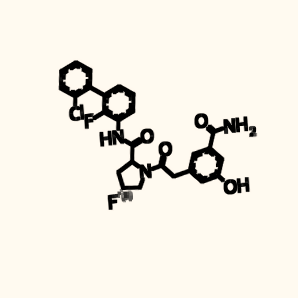 NC(=O)c1cc(O)cc(CC(=O)N2C[C@H](F)CC2C(=O)Nc2cccc(-c3ccccc3Cl)c2F)c1